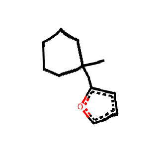 CC1(c2ccco2)CCCCC1